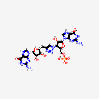 Nc1nc2c(ncn2[C@@H]2O[C@H](Cc3cn([C@H]4[C@@H](O)[C@H](n5cnc6c(=O)[nH]c(N)nc65)O[C@@H]4COP(=O)(O)O)nn3)[C@@H](O)[C@H]2O)c(=O)[nH]1